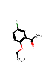 CCOC(=O)COc1ccc(Cl)cc1C(=O)OC